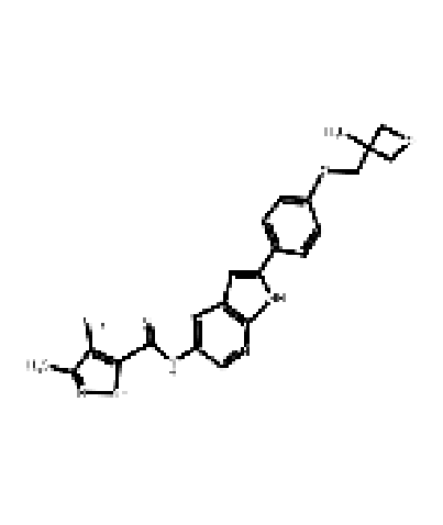 Cc1n[nH]c(C(=O)Nc2cnc3[nH]c(-c4ccc(OCC5(C)COC5)cc4)cc3c2)c1C